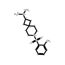 Cc1ccccc1S(=O)(=O)N1CCC2(CC1)CC(N(C)C)C2